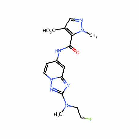 CN(CCF)c1nc2cc(NC(=O)c3c(C(=O)O)cnn3C)ccn2n1